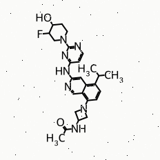 CC(=O)NC1CN(c2ccc(C(C)C)c3cc(Nc4ccnc(N5CCC(O)C(F)C5)n4)ncc23)C1